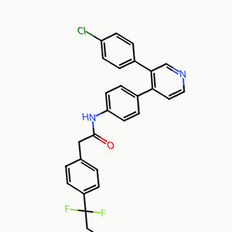 CCC(F)(F)c1ccc(CC(=O)Nc2ccc(-c3ccncc3-c3ccc(Cl)cc3)cc2)cc1